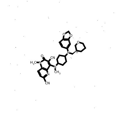 CN(c1c(C#N)c(=O)n(C)c2ccc(C#N)nc12)C1CCC(N(C[C@@H]2CCCOC2)c2ccc3c(c2)OCO3)CC1